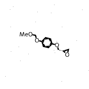 COCOc1ccc(OC[C@@H]2CO2)cc1